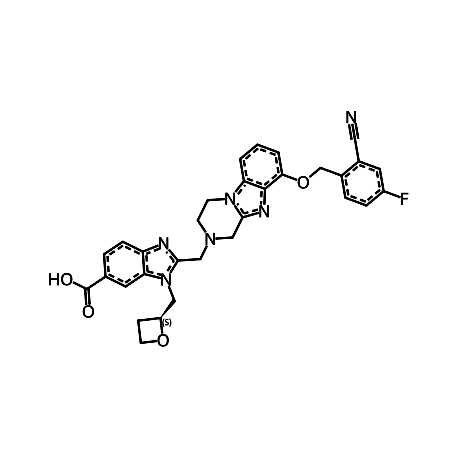 N#Cc1cc(F)ccc1COc1cccc2c1nc1n2CCN(Cc2nc3ccc(C(=O)O)cc3n2C[C@@H]2CCO2)C1